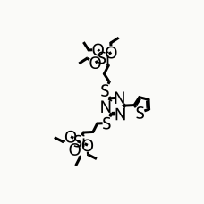 CCO[Si](CCCSc1nc(SCCC[Si](OCC)(OCC)OCC)nc(-c2cccs2)n1)(OCC)OCC